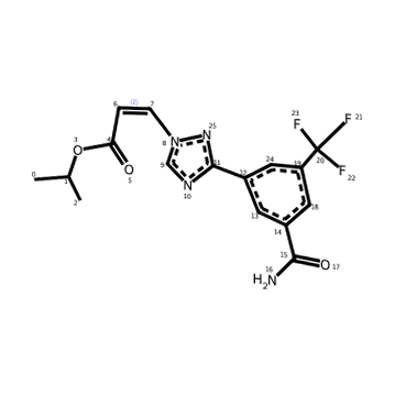 CC(C)OC(=O)/C=C\n1cnc(-c2cc(C(N)=O)cc(C(F)(F)F)c2)n1